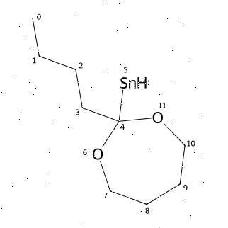 CCCC[C]1([SnH])OCCCCO1